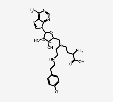 Nc1ncnc2c1ncn2C1OC(CN(CCNCCc2ccc(Cl)cc2)CCC(N)C(=O)O)[C@@H](O)[C@H]1O